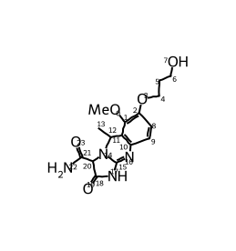 COc1c(OCCCO)ccc2c1C(C)N1C(=N2)NC(=O)C1C(N)=O